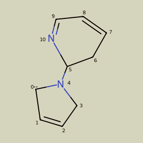 [C]1C=CCN1C1CC=CC=N1